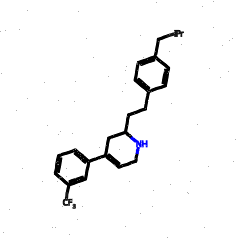 CC(C)Cc1ccc(CCC2CC(c3cccc(C(F)(F)F)c3)=CCN2)cc1